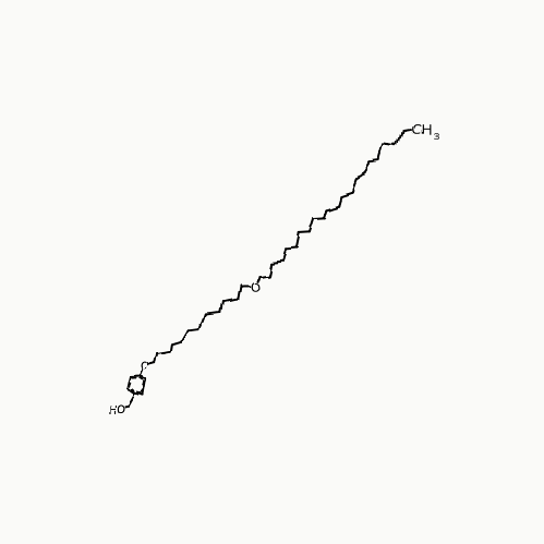 CCCCCCCCCCCCCCCCCCCCCCOCCCCCCCCCCCCOc1ccc(CO)cc1